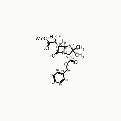 COC(=O)C(C)[C@@H]1C(=O)N2[C@@H]1SC(C)(C)[C@@H]2C(=O)OCc1ccccc1